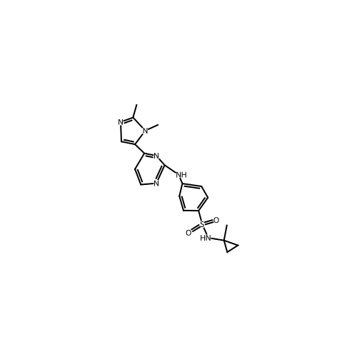 Cc1ncc(-c2ccnc(Nc3ccc(S(=O)(=O)NC4(C)CC4)cc3)n2)n1C